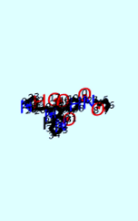 O=C(NCc1ccco1)c1ccc(-c2c(C(=O)O)c(CCc3cccnc3)nc3c2C(=O)N2CCC[C@@H]32)cc1